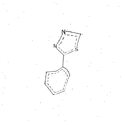 [c]1nnc(-c2ccccc2)s1